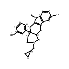 Cn1c2c(c3cc(F)ccc31)CC1CN(CC3CC3)CCC1(c1cccc(O)c1)C2